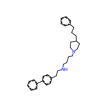 c1ccc(CCCC2CCN(CCCCNCCc3ccc(-c4ccccc4)cc3)CC2)cc1